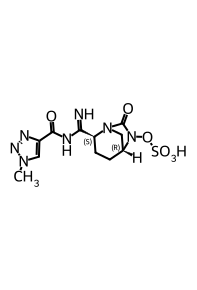 Cn1cc(C(=O)NC(=N)[C@@H]2CC[C@@H]3CN2C(=O)N3OS(=O)(=O)O)nn1